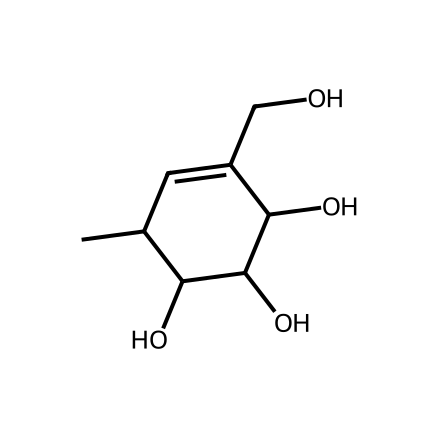 CC1C=C(CO)C(O)C(O)C1O